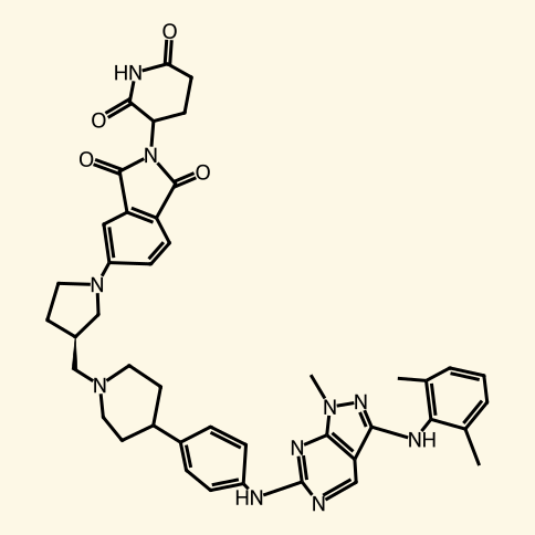 Cc1cccc(C)c1Nc1nn(C)c2nc(Nc3ccc(C4CCN(C[C@H]5CCN(c6ccc7c(c6)C(=O)N(C6CCC(=O)NC6=O)C7=O)C5)CC4)cc3)ncc12